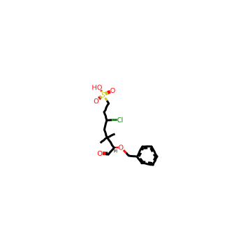 CC(C)(CC(Cl)CCS(=O)(=O)O)[C@H](C=O)OCc1ccccc1